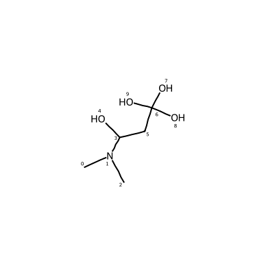 CN(C)C(O)CC(O)(O)O